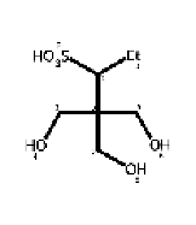 CCC(C(CO)(CO)CO)S(=O)(=O)O